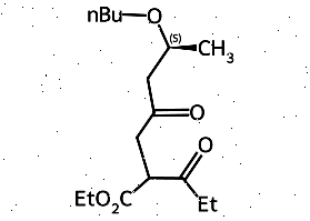 CCCCO[C@@H](C)CC(=O)CC(C(=O)CC)C(=O)OCC